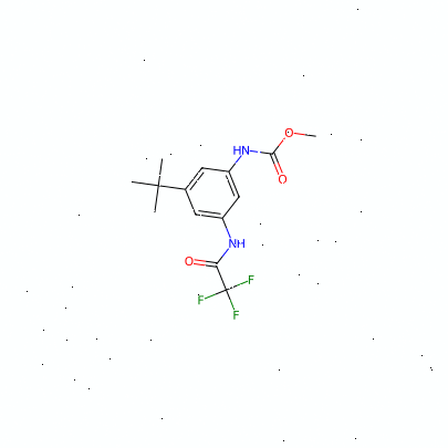 COC(=O)Nc1cc(NC(=O)C(F)(F)F)cc(C(C)(C)C)c1